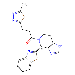 Cc1nnc(CCC(=O)N2CCc3[nH]cnc3[C@H]2c2nc3ccccc3s2)s1